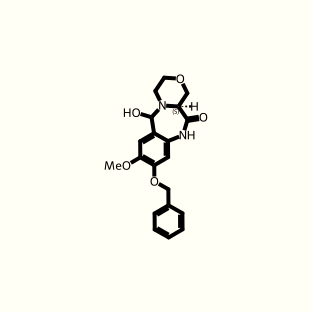 COc1cc2c(cc1OCc1ccccc1)NC(=O)[C@@H]1COCCN1C2O